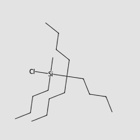 CCCCC(CCCC)(CCCC)[Si](C)(Cl)CCCC